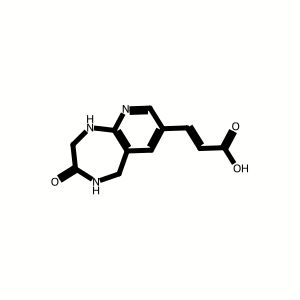 O=C(O)C=Cc1cnc2c(c1)CNC(=O)CN2